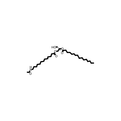 CCCCCCCCCCCCCCCC(=O)O[C@@H](CO)COC(=O)CCCCCCCCCCCCNC(C)=O